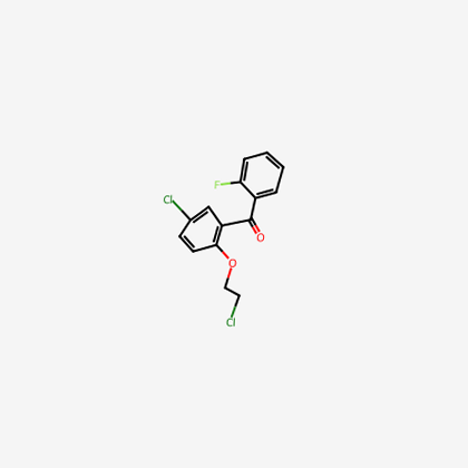 O=C(c1ccccc1F)c1cc(Cl)ccc1OCCCl